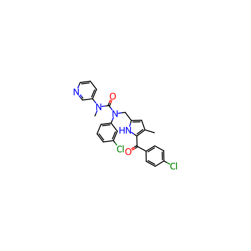 Cc1cc(CN(C(=O)N(C)c2cccnc2)c2cccc(Cl)c2)[nH]c1C(=O)c1ccc(Cl)cc1